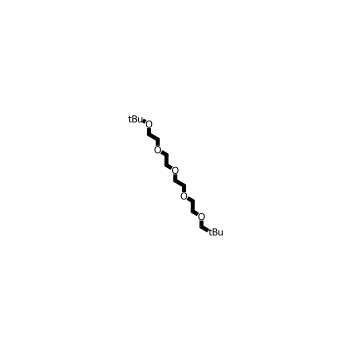 CC(C)(C)COCCOCCOCCOCCOC(C)(C)C